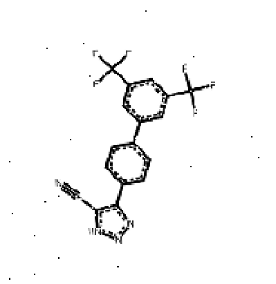 N#Cc1[nH]nnc1-c1ccc(-c2cc(C(F)(F)F)cc(C(F)(F)F)c2)cc1